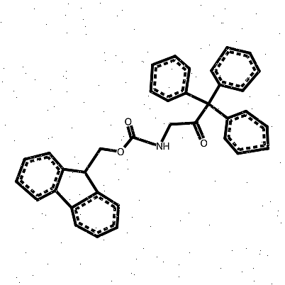 O=C(NCC(=O)C(c1ccccc1)(c1ccccc1)c1ccccc1)OCC1c2ccccc2-c2ccccc21